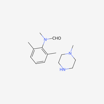 CN1CCNCC1.Cc1cccc(C)c1N(C)C=O